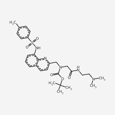 Cc1ccc(S(=O)(=O)Nc2cccc3ccc(CN(CC(=O)NCCN(C)C)C(=O)OC(C)(C)C)nc23)cc1